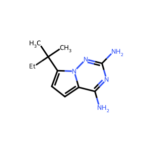 CCC(C)(C)c1ccc2c(N)nc(N)nn12